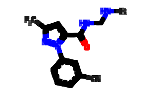 CCNCNC(=O)c1cc(C(F)(F)F)nn1-c1cccc(C#N)c1